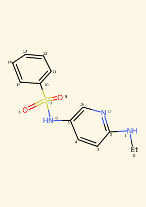 CCNc1ccc(NS(=O)(=O)c2ccccc2)cn1